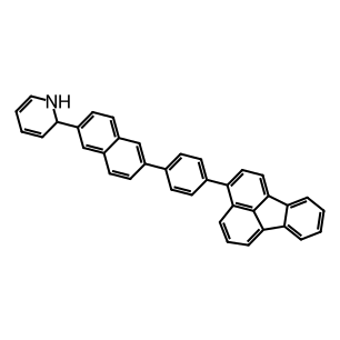 C1=CNC(c2ccc3cc(-c4ccc(-c5ccc6c7c(cccc57)-c5ccccc5-6)cc4)ccc3c2)C=C1